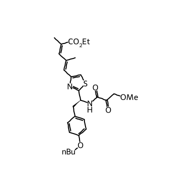 CCCCOc1ccc(C[C@H](NC(=O)C(=O)COC)c2nc(/C=C(C)/C=C(/C)C(=O)OCC)cs2)cc1